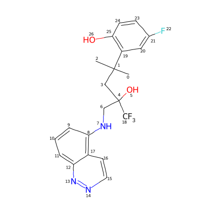 CC(C)(CC(O)(CNc1cccc2nnccc12)C(F)(F)F)c1cc(F)ccc1O